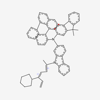 C=C/C(=C\C=C(/C)n1c2ccccc2c2ccc(N(c3ccc4c(c3)C(C)(C)c3ccccc3-4)c3ccccc3-c3cccc4cccc(-c5ccccc5)c34)cc21)C1CCCCC1